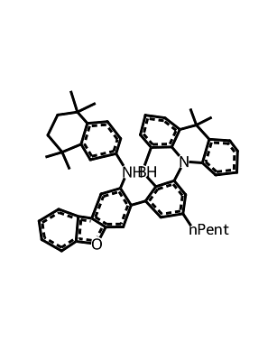 CCCCCc1cc(-c2cc3oc4ccccc4c3cc2Nc2ccc3c(c2)C(C)(C)CCC3(C)C)c2c(c1)N1c3ccccc3C(C)(C)c3cccc(c31)B2